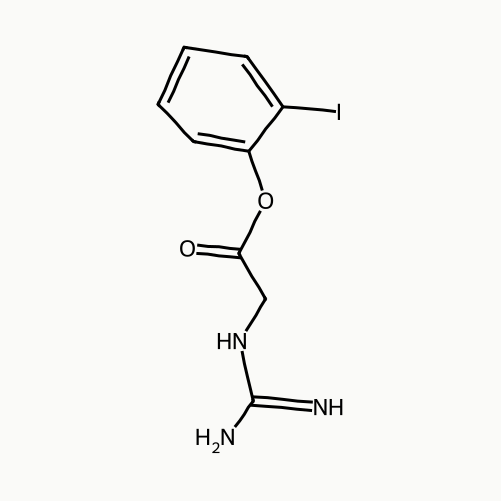 N=C(N)NCC(=O)Oc1ccccc1I